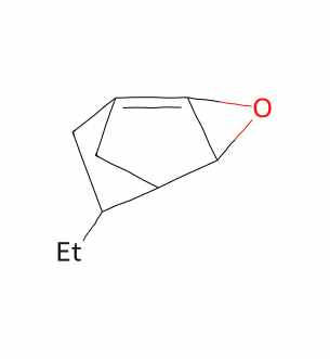 [CH2]CC1CC2=C3OC3C1C2